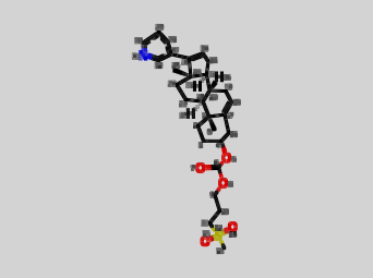 C[C@]12CC[C@H](OC(=O)OCCCS(C)(=O)=O)CC1=CC[C@@H]1[C@@H]2CC[C@]2(C)C(c3cccnc3)=CC[C@@H]12